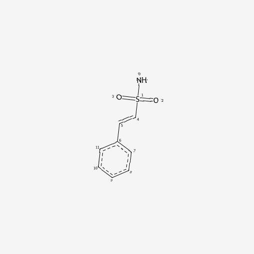 [NH]S(=O)(=O)C=Cc1ccccc1